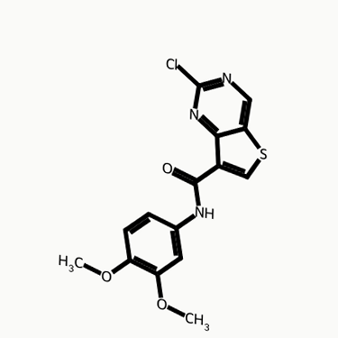 COc1ccc(NC(=O)c2csc3cnc(Cl)nc23)cc1OC